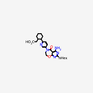 CCCCCCc1nc(N)c2c(n1)OCCN(c1ccc(C3CCCCC3CC(=O)O)nc1)C2=O